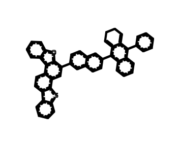 C1=c2c(-c3ccccc3)c3ccccc3c(-c3ccc4cc(-c5cc6c(ccc7c8ccccc8sc76)c6c5oc5ccccc56)ccc4c3)c2=CCC1